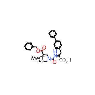 CO[C@@H](CN(CC(C)C)C(=O)N[C@@H](Cc1ccc(-c2ccccc2)cc1)C(=O)O)C(=O)OCc1ccccc1